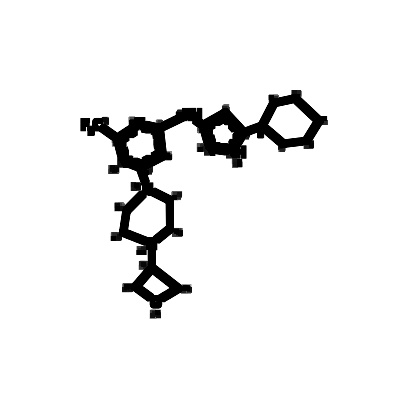 FC(F)(F)c1nc(Nc2cc(C3CCCCC3)[nH]n2)cc(N2CCN(C3COC3)CC2)n1